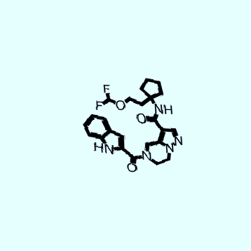 O=C(NC1(CCOC(F)F)CCCC1)c1cnn2c1CN(C(=O)c1cc3ccccc3[nH]1)CC2